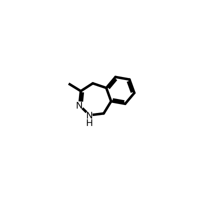 CC1=NNCc2ccccc2C1